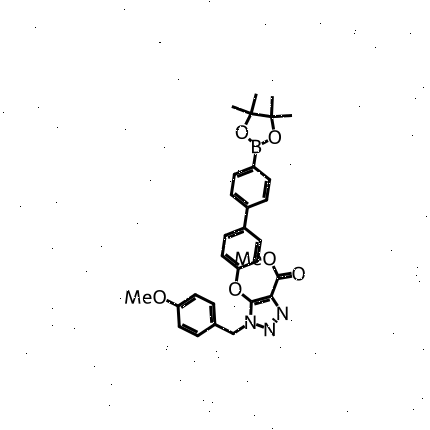 COC(=O)c1nnn(Cc2ccc(OC)cc2)c1Oc1ccc(-c2ccc(B3OC(C)(C)C(C)(C)O3)cc2)cc1